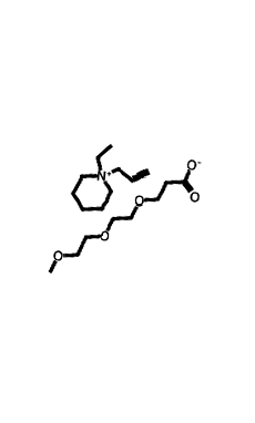 C=CC[N+]1(CC)CCCCC1.COCCOCCOCCC(=O)[O-]